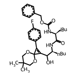 CCCC[C@H](NC(=O)[C@@H](NC(=O)OCc1ccccc1)C(C)CC)C(O)C1=C(c2ccc(F)cc2)C12OCC(C)(C)CO2